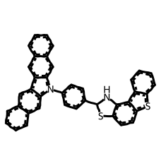 c1ccc2cc3c(cc2c1)c1cc2ccccc2cc1n3-c1ccc(C2Nc3c(ccc4sc5ccccc5c34)S2)cc1